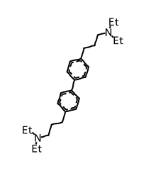 CCN(CC)CCCc1ccc(-c2ccc(CCCN(CC)CC)cc2)cc1